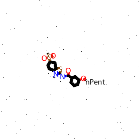 CCCCCOc1cccc(C(=O)/N=c2\sc3cc(S(C)(=O)=O)ccc3n2C)c1